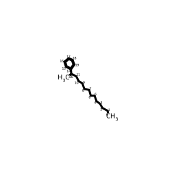 CCCCCCCCCCCCC(C)c1c[c]ccc1